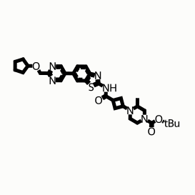 CC1CN(C(=O)OC(C)(C)C)CCN1C1CC(C(=O)Nc2nc3ccc(-c4cnc(COC5CCCC5)nc4)cc3s2)C1